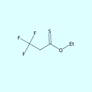 CCOC(=S)CC(F)(F)F